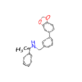 C[C@@H](NCc1cccc(-c2ccc3c(c2)OCO3)c1)c1ccccc1